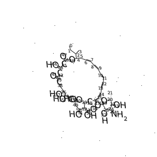 CCC(C)C1C\C=C/C=C\C=C/C=C/C=C\C(O[C@@H]2O[C@H](C)[C@@H](O)[C@H](N)[C@@H]2O)CC2OC(O)(CC(O)C(O)CCC(=O)CC(O)CC(=O)O1)CC(O)C2C(=O)O